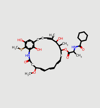 COC1/C=C/C=C/C=C/CC(OC(=O)C(C)NC(=O)C2CCCCC2)C(C)C(O)/C(C)=C\CCc2cc(O)c(SC)c(c2O)NC(=O)C1